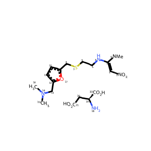 CNC(=C[N+](=O)[O-])NCCSCc1ccc(CN(C)C)o1.N[C@@H](CC(=O)O)C(=O)O